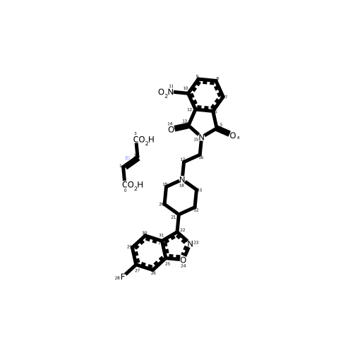 O=C(O)/C=C/C(=O)O.O=C1c2cccc([N+](=O)[O-])c2C(=O)N1CCN1CCC(c2noc3cc(F)ccc23)CC1